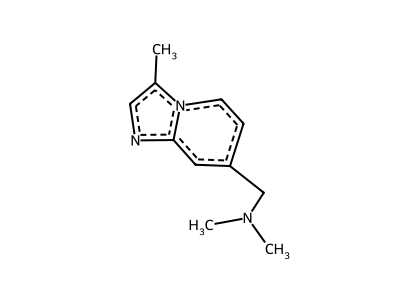 Cc1cnc2cc(CN(C)C)ccn12